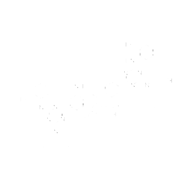 Cc1ccccc1Nc1nc(-c2ccc(C=Cc3c(N)cc(-c4nc(Nc5ccccc5C)nc(N(CCO)CCO)n4)cc3S(=O)(=O)O)c(S(=O)(=O)O)c2)nc(N(CCO)CCO)n1